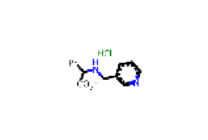 CC(C)C(NCc1cccnc1)C(=O)O.Cl